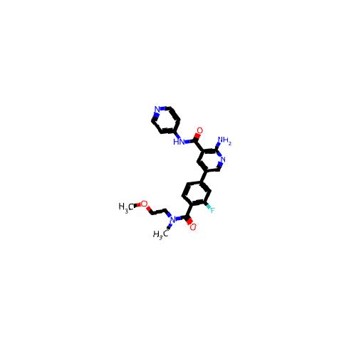 COCCN(C)C(=O)c1ccc(-c2cnc(N)c(C(=O)Nc3ccncc3)c2)cc1F